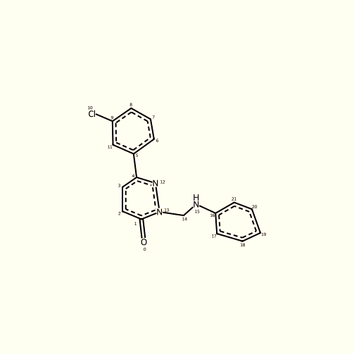 O=c1ccc(-c2cccc(Cl)c2)nn1CNc1ccccc1